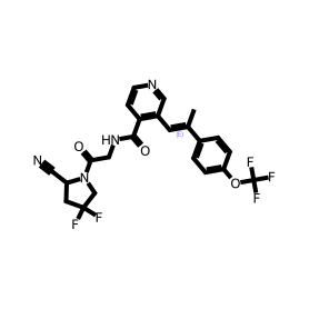 C/C(=C\c1cnccc1C(=O)NCC(=O)N1CC(F)(F)CC1C#N)c1ccc(OC(F)(F)F)cc1